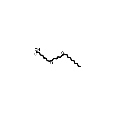 CCCCCCCCCC1OC1CC=CCC1OC1CC=CCCCC(=O)O